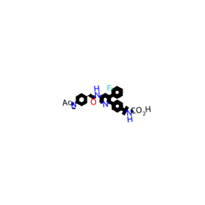 CC(=O)N(C)[C@H]1CC[C@H](CC(=O)Nc2cnc(-c3ccc(C(C)(C)NC(=O)O)cc3)c(-c3ccccc3F)c2)CC1